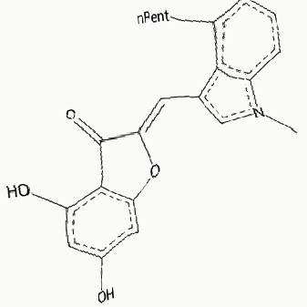 CCCCCc1cccc2c1c(/C=C1\Oc3cc(O)cc(O)c3C1=O)cn2C